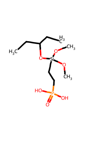 CCC(CC)O[Si](CCP(=O)(O)O)(OC)OC